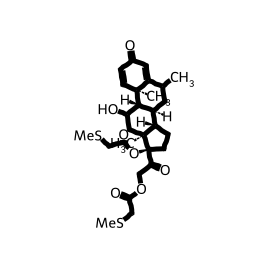 CSCC(=O)OCC(=O)[C@@]1(OC(=O)CSC)CC[C@H]2[C@@H]3CC(C)C4=CC(=O)C=C[C@]4(C)[C@H]3C(O)C[C@@]21C